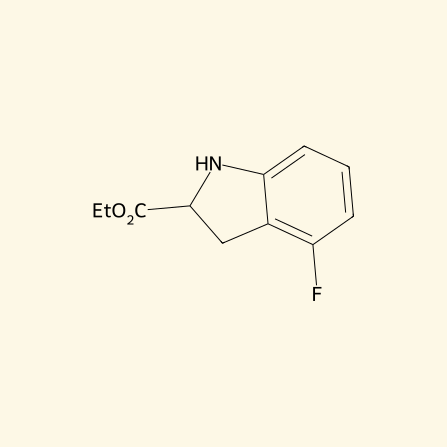 CCOC(=O)C1Cc2c(F)cccc2N1